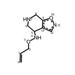 C=CCONC1CNCc2oncc21